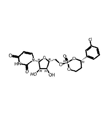 O=c1ccn([C@@H]2O[C@H](CO[P@]3(=O)OCC[C@@H](c4cccc(Cl)c4)O3)[C@@H](O)[C@H]2O)c(=O)[nH]1